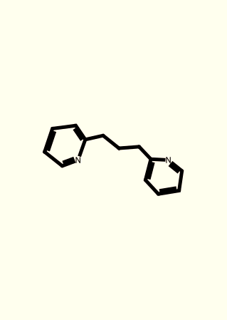 [CH](Cc1ccccn1)Cc1ccccn1